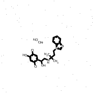 CC(C)(CCn1cnc2ccccc21)NCC(O)c1cc(Cl)c(O)cc1Cl.Cl.Cl